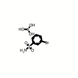 NS(=O)(=O)c1cccc(Br)c1.OB(O)O